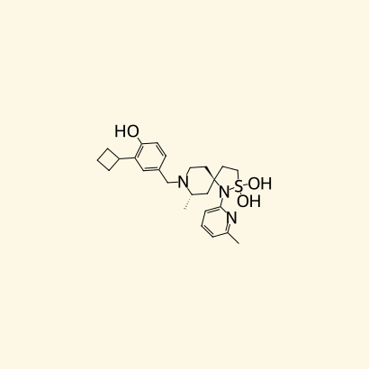 Cc1cccc(N2[C@@]3(CCN(Cc4ccc(O)c(C5CCC5)c4)[C@@H](C)C3)CCS2(O)O)n1